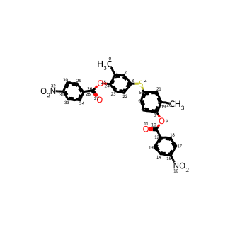 Cc1cc(Sc2ccc(OC(=O)c3ccc([N+](=O)[O-])cc3)c(C)c2)ccc1OC(=O)c1ccc([N+](=O)[O-])cc1